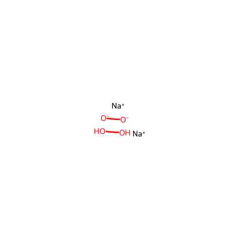 OO.[Na+].[Na+].[O-][O-]